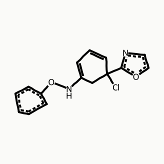 ClC1(c2ncco2)C=CC=C(NOc2ccccc2)C1